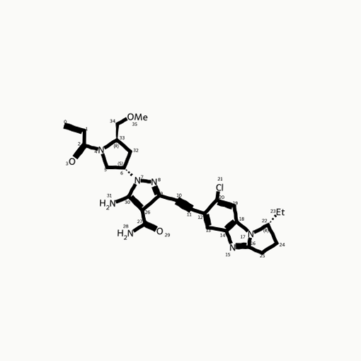 C=CC(=O)N1C[C@@H](n2nc(C#Cc3cc4nc5n(c4cc3Cl)[C@H](CC)CC5)c(C(N)=O)c2N)C[C@@H]1COC